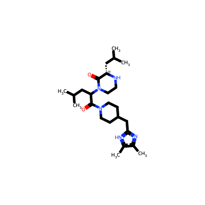 Cc1nc(CC2CCN(C(=O)C(CC(C)C)N3CCN[C@@H](CC(C)C)C3=O)CC2)[nH]c1C